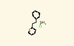 [SiH3]Cl.c1ccc(CCc2ccccc2)cc1